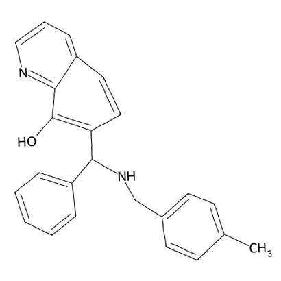 Cc1ccc(CNC(c2ccccc2)c2ccc3cccnc3c2O)cc1